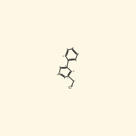 ClCc1cncc(-c2ccccc2)c1